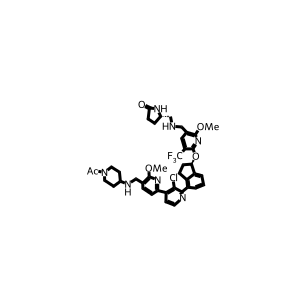 COc1nc(-c2ccnc(-c3cccc4c3CC[C@H]4Oc3nc(OC)c(CNC[C@@H]4CCC(=O)N4)cc3C(F)(F)F)c2Cl)ccc1CNC1CCN(C(C)=O)CC1